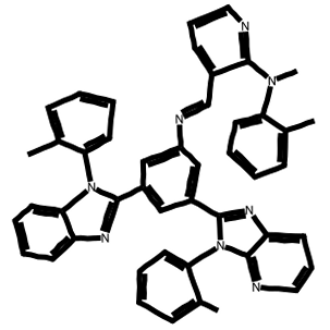 Cc1ccccc1N(C)c1ncccc1/C=N/c1cc(-c2nc3ccccc3n2-c2ccccc2C)cc(-c2nc3cccnc3n2-c2ccccc2C)c1